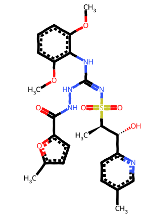 COc1cccc(OC)c1N/C(=N/S(=O)(=O)[C@H](C)[C@H](O)c1ccc(C)cn1)NNC(=O)c1ccc(C)o1